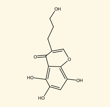 O=c1c(CCCO)coc2c(O)cc(O)c(O)c12